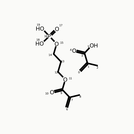 C=C(C)C(=O)O.C=C(C)C(=O)OCCCOP(=O)(O)O